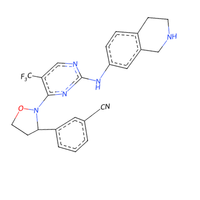 N#Cc1cccc(C2CCON2c2nc(Nc3ccc4c(c3)CNCC4)ncc2C(F)(F)F)c1